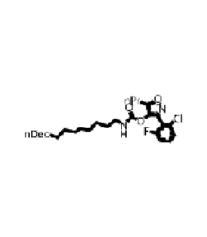 CCCCCCCCCCCCCCCCCCNC(=O)Oc1c(-c2c(F)cccc2Cl)noc1CCC